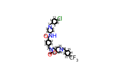 O=C(NC1CCN(Cc2ccc(Cl)cc2)CC1)c1ccc(CN2CC3(CCN(Cc4ccc(C(F)(F)F)cc4)CC3)OC2=O)cc1